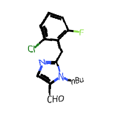 CCCCn1c(C=O)cnc1Cc1c(F)cccc1Cl